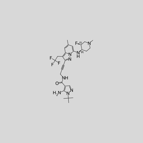 Cc1cc(N[C@@H]2CCN(C)C[C@@H]2F)n2nc(C#CCNC(=O)c3cnn(C(C)(C)C)c3N)c(CC(F)(F)F)c2c1